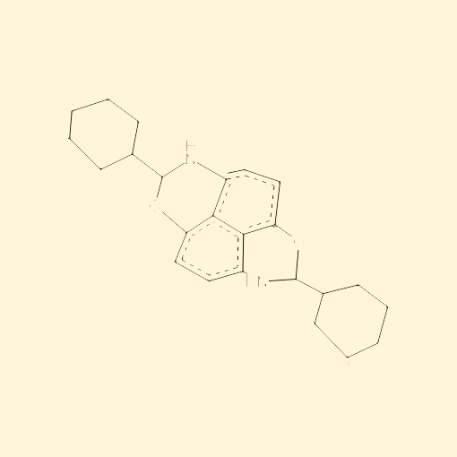 c1cc2c3c(ccc4c3c1NC(C1CCCCC1)O4)NC(C1CCCCC1)O2